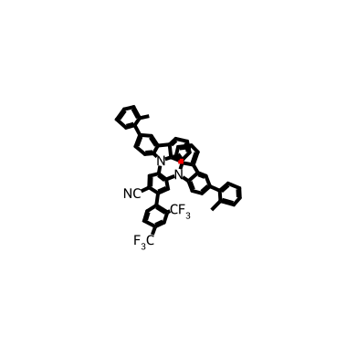 Cc1ccccc1-c1ccc2c(c1)c1ccccc1n2-c1cc(C#N)c(-c2ccc(C(F)(F)F)cc2C(F)(F)F)cc1-n1c2ccccc2c2cc(-c3ccccc3C)ccc21